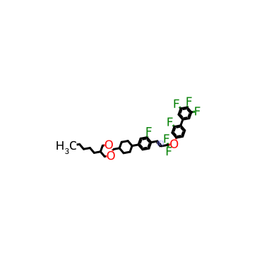 CCCCCC1COC(C2CCC(c3ccc(/C=C/C(F)(F)Oc4ccc(-c5cc(F)c(F)c(F)c5)c(F)c4)c(F)c3)CC2)OC1